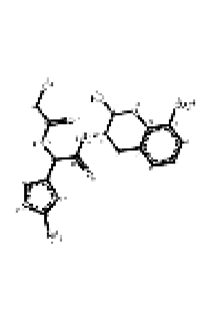 Nc1nc(C(NC(=O)CO)C(=O)N[C@H]2Cc3cccc(C(=O)O)c3OB2O)cs1